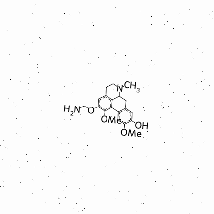 COc1cc2c(cc1O)CC1c3c(cc(OCN)c(OC)c3-2)CCN1C